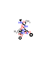 CCC[C@H](NC(=O)[C@@H]1C[C@]2(CC(Oc3ccccc3)=NO2)CN1C(=O)[C@@H](NC(=O)OC1CCCC1)C(C)(C)C)C(=O)C(=O)NC1CC1